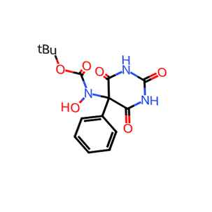 CC(C)(C)OC(=O)N(O)C1(c2ccccc2)C(=O)NC(=O)NC1=O